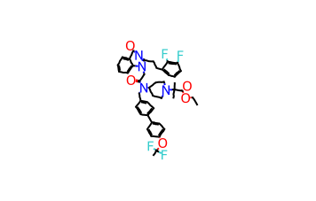 CCOC(=O)C(C)(C)N1CCC(N(Cc2ccc(-c3ccc(OC(C)(F)F)cc3)cc2)C(=O)Cn2c(CCc3cccc(F)c3F)nc(=O)c3ccccc32)CC1